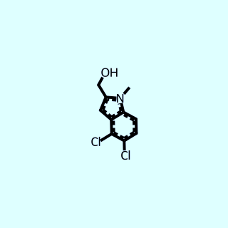 Cn1c(CO)cc2c(Cl)c(Cl)ccc21